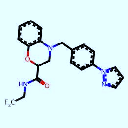 O=C(NCC(F)(F)F)C1CN(Cc2ccc(-n3cccn3)cc2)c2ccccc2O1